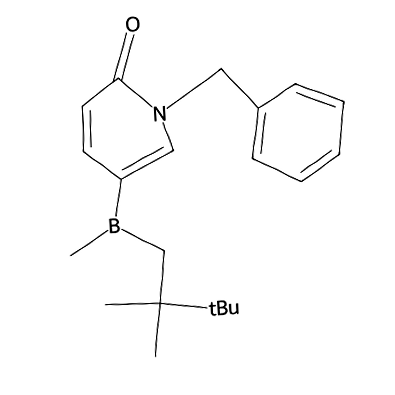 CB(CC(C)(C)C(C)(C)C)c1ccc(=O)n(Cc2ccccc2)c1